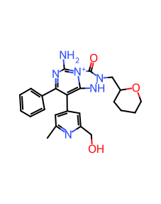 Cc1cc(-c2c(-c3ccccc3)nc(N)[n+]3c(=O)n(CC4CCCCO4)[nH]c23)cc(CO)n1